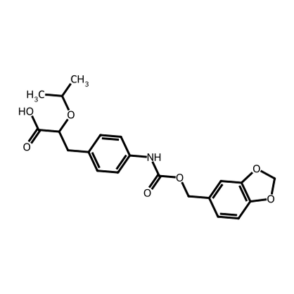 CC(C)OC(Cc1ccc(NC(=O)OCc2ccc3c(c2)OCO3)cc1)C(=O)O